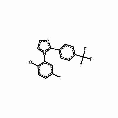 Oc1ccc(Cl)cc1-n1ccnc1-c1ccc(C(F)(F)F)cc1